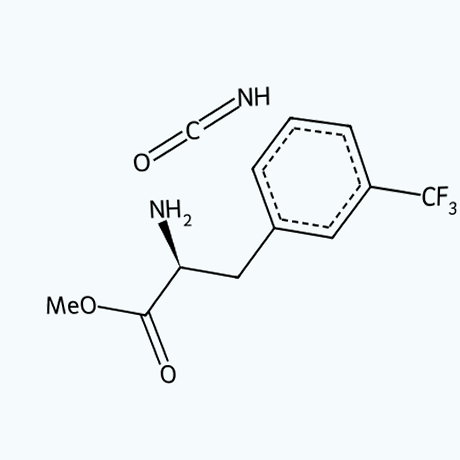 COC(=O)[C@@H](N)Cc1cccc(C(F)(F)F)c1.N=C=O